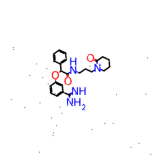 N=C(N)c1cccc(OC(C(=O)NCCCN2CCCCC2=O)c2ccccc2)c1